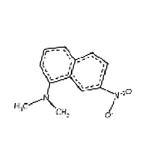 CN(C)c1cccc2ccc([N+](=O)[O-])cc12